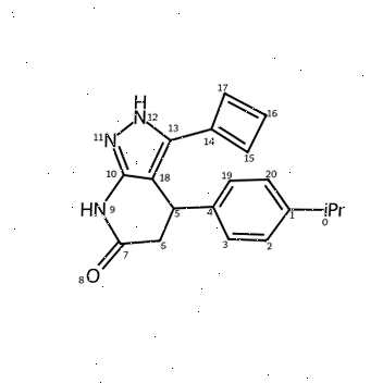 CC(C)c1ccc(C2CC(=O)Nc3n[nH]c(C4=CC=C4)c32)cc1